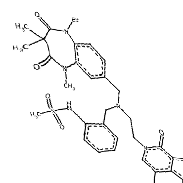 CCN1C(=O)C(C)(C)C(=O)N(C)c2cc(CN(CCn3cc(C)c4occc4c3=O)Cc3ccccc3NS(C)(=O)=O)ccc21